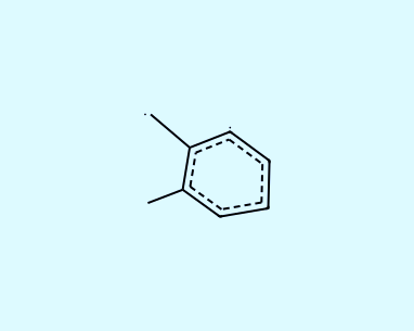 [CH2]c1[c]cccc1C